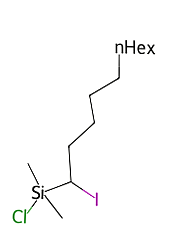 CCCCCCCCCCC(I)[Si](C)(C)Cl